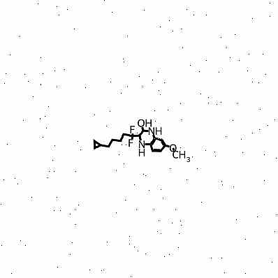 COc1ccc2c(c1)NC(O)C(C(F)(F)CCCCC1CC1)N2